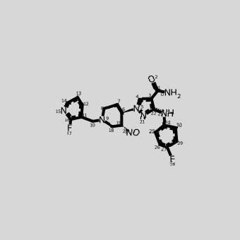 NC(=O)c1cn([C@@H]2CCN(Cc3cccnc3F)C[C@H]2N=O)nc1Nc1ccc(F)cc1